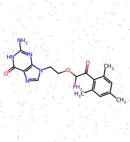 Cc1cc(C)c(C(=O)C(P)OCCn2cnc3c(=O)[nH]c(N)nc32)c(C)c1